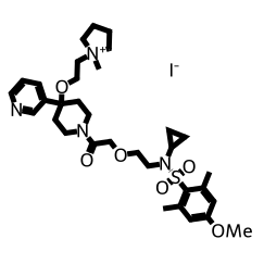 COc1cc(C)c(S(=O)(=O)N(CCOCC(=O)N2CCC(OCC[N+]3(C)CCCC3)(c3cccnc3)CC2)C2CC2)c(C)c1.[I-]